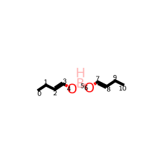 CCC=COBOC=CCC